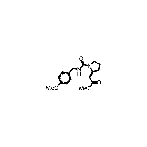 COC(=O)C=C1CCCN1C(=O)NCc1ccc(OC)cc1